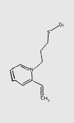 C=Cc1cccc[n+]1CCCSO